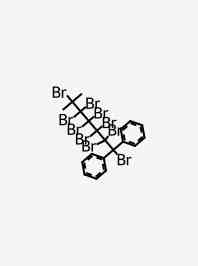 CC(C)(Br)C(Br)(Br)C(Br)(Br)C(Br)(Br)C(Br)(Br)C(Br)(c1ccccc1)c1ccccc1